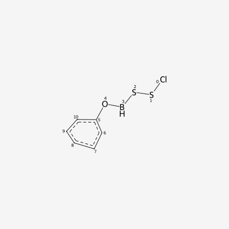 ClSSBOc1ccccc1